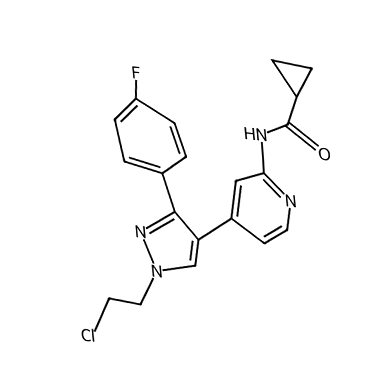 O=C(Nc1cc(-c2cn(CCCl)nc2-c2ccc(F)cc2)ccn1)C1CC1